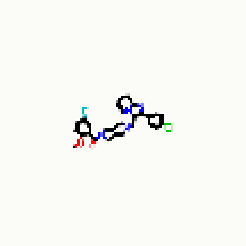 COc1ccc(F)cc1C(=O)N1CC2CN(Cc3c(-c4ccc(Cl)cc4)nc4ccccn34)CC2C1